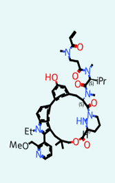 C=CC(=O)N(C)CCC(=O)N(C)[C@H](C(=O)N(C)[C@H]1Cc2cc(O)cc(c2)-c2ccc3c(c2)c(c(-c2cccnc2COC)n3CC)CC(C)(C)COC(=O)[C@@H]2CCCN(N2)C1=O)C(C)C